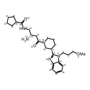 COCCCn1c([C@@H]2CCCN(C(=O)C[C@H](N)CNC(=O)C3CCCC3)C2)nc2ccccc21